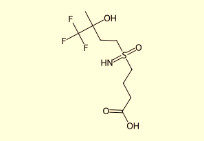 CC(O)(CCS(=N)(=O)CCCC(=O)O)C(F)(F)F